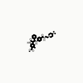 COC(=O)c1cc2c(cc1C)C(=C(Nc1ccc(C(=O)NCCN3CCC(N(C)C)CC3)cc1)c1ccccc1)C(=O)N2